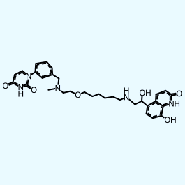 CN(CCOCCCCCCNCC(O)c1ccc(O)c2[nH]c(=O)ccc12)Cc1cccc(-n2ccc(=O)[nH]c2=O)c1